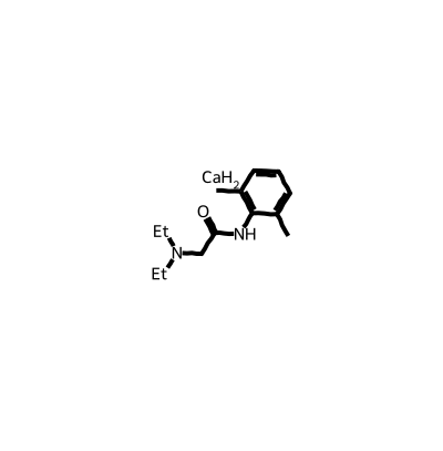 CCN(CC)CC(=O)Nc1c(C)cccc1C.[CaH2]